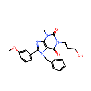 COc1cccc(-c2nc3c(c(=O)n(CCCO)c(=O)n3C)n2Cc2ccccc2)c1